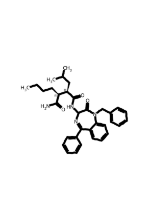 CCCC[C@H](C(N)=O)[C@@H](CC(C)C)C(=O)NC1N=C(c2ccccc2)c2ccccc2N(Cc2ccccc2)C1=O